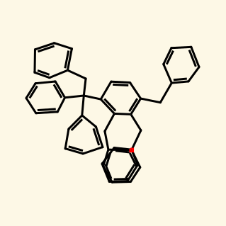 c1ccc(Cc2ccc(C(Cc3ccccc3)(c3ccccc3)c3ccccc3)c(Cc3ccccc3)c2Cc2ccccc2)cc1